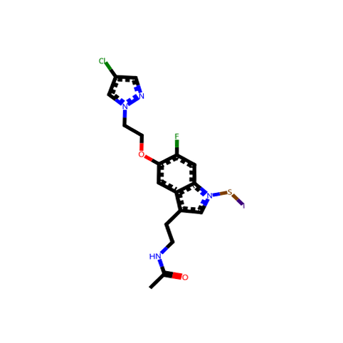 CC(=O)NCCc1cn(SI)c2cc(F)c(OCCn3cc(Cl)cn3)cc12